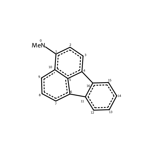 CNc1ccc2c3c(cccc13)-c1ccccc1-2